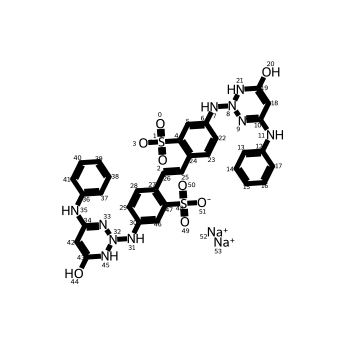 O=S(=O)([O-])c1cc(NN2N=C(Nc3ccccc3)C=C(O)N2)ccc1C=Cc1ccc(NN2N=C(Nc3ccccc3)C=C(O)N2)cc1S(=O)(=O)[O-].[Na+].[Na+]